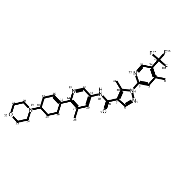 Cc1cc(-n2ncc(C(=O)Nc3cnc(C4=CCC(N5CCOCC5)CC4)c(C)c3)c2C)ncc1C(F)(F)F